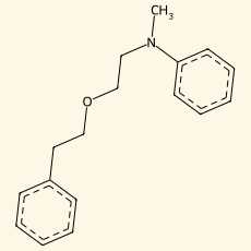 CN(CCOCCc1ccccc1)c1ccccc1